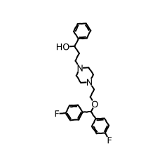 OC(CCN1CCN(CCOC(c2ccc(F)cc2)c2ccc(F)cc2)CC1)c1ccccc1